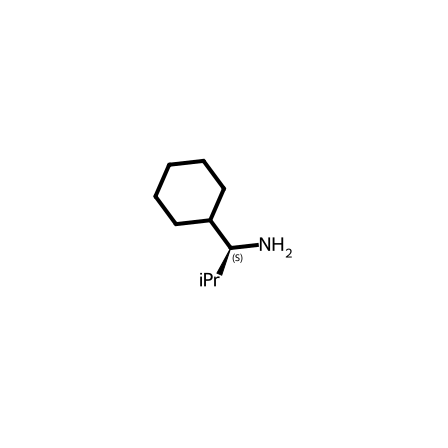 CC(C)[C@H](N)C1CCCCC1